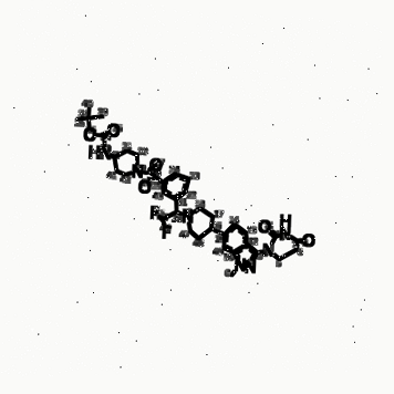 Cn1nc(N2CCC(=O)NC2=O)c2ccc(C3CCN(C(c4cccc(S(=O)(=O)N5CCC(NC(=O)OC(C)(C)C)CC5)c4)C(F)F)CC3)cc21